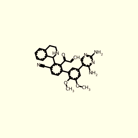 C=CC(=O)c1c(-c2cc(-c3cnc(N)nc3N)cc(OC)c2OC)ccc(C#N)c1C1NCCc2ccccc21